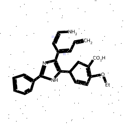 C=C/C=C(\C=C/N)c1nc(-c2ccccc2)[nH]c1C1C=CC(OCC)=C(C(=O)O)C1